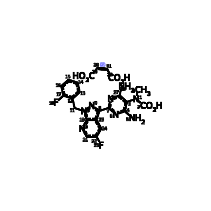 CN(C(=O)O)c1c(N)nc(-c2nn(Cc3ccccc3F)c3ncc(F)cc23)nc1N.O=C(O)/C=C\C(=O)O